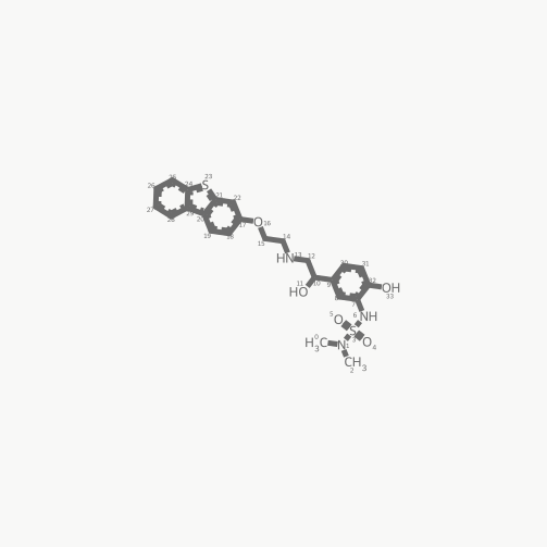 CN(C)S(=O)(=O)Nc1cc(C(O)CNCCOc2ccc3c(c2)sc2ccccc23)ccc1O